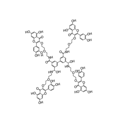 O=C(NCCOCCOc1c(-c2ccc(O)c(O)c2)oc2cc(O)cc(O)c2c1=O)c1cc(-c2cc(C(=O)NCCOCCOc3c(-c4ccc(O)c(O)c4)oc4cc(O)cc(O)c4c3=O)cc(C(O)NCCOCCOc3c(-c4ccc(O)c(O)c4)oc4cc(O)cc(O)c4c3=O)c2)cc(C(O)NCCOCCOc2c(-c3ccc(O)c(O)c3)oc3cc(O)cc(O)c3c2=O)c1